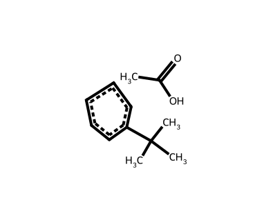 CC(=O)O.CC(C)(C)c1ccccc1